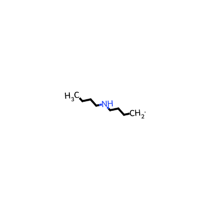 [CH2]CCCNCCCC